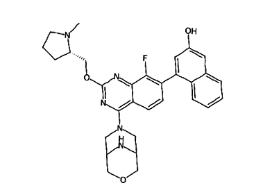 CN1CCC[C@H]1COc1nc(N2CC3COCC(C2)N3)c2ccc(-c3cc(O)cc4ccccc34)c(F)c2n1